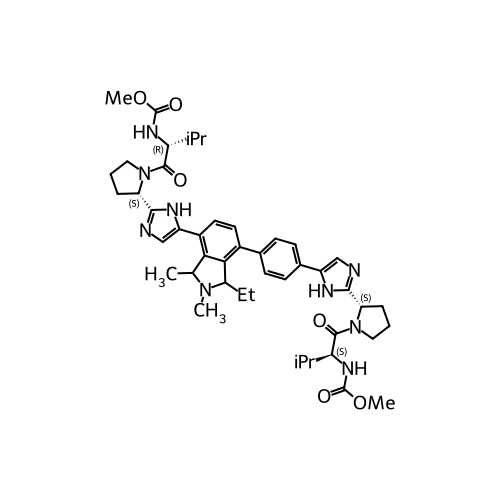 CCC1c2c(-c3ccc(-c4cnc([C@@H]5CCCN5C(=O)[C@@H](NC(=O)OC)C(C)C)[nH]4)cc3)ccc(-c3cnc([C@@H]4CCCN4C(=O)[C@H](NC(=O)OC)C(C)C)[nH]3)c2C(C)N1C